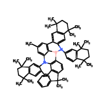 Cc1cc2c3c(c1)N(c1cc4c(cc1C)C(C)(C)CCC4(C)C)c1c(ccc4c1-c1ccccc1C4(C)C)B3N(c1ccc3c(c1)C(C)(C)CCC3(C)C)c1cc3c(cc1-2)C(C)(C)CCC3(C)C